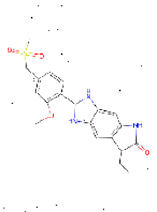 CCC1C(=O)Nc2cc3c(cc21)NC(c1ccc(CS(C)(=O)=O)cc1OC)N3